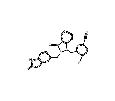 N#Cc1ccc(F)c(CC2c3ccccc3C(=O)N2Cc2ccc3[nH]c(=O)oc3c2)c1